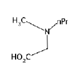 CCCN(C)CC(=O)O